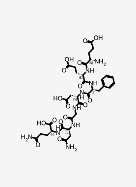 NC(=O)CC[C@H](NC(=O)[C@H](CC(N)=O)NC(=O)CNC(=O)[C@H](CC(=O)O)NC(=O)[C@H](Cc1ccccc1)NC(=O)[C@H](CCC(=O)O)NC(=O)[C@@H](N)CCC(=O)O)C(=O)O